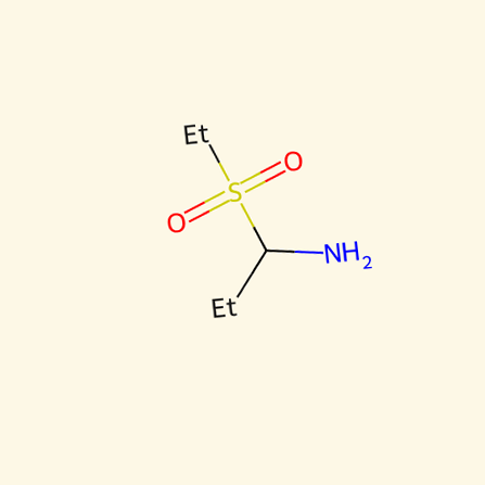 [CH2]CC(N)S(=O)(=O)CC